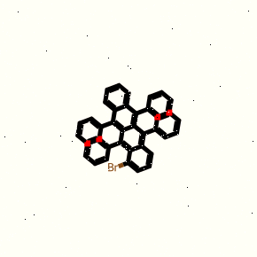 Brc1cccc2c(-c3ccccc3)c3c(-c4ccccc4)c4ccccc4c(-c4ccccc4)c3c(-c3ccccc3)c12